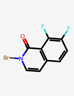 O=c1c2c(F)c(F)ccc2ccn1Br